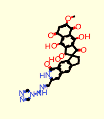 COC1=CC(=O)c2c(O)c3c(c(O)c2C1=O)C(=O)C1(CCc2cc4cc(/C=N/Nn5cnnc5)[nH]c(=O)c4c(O)c21)C3=O